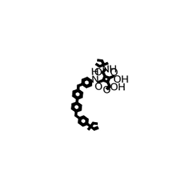 C=CC(C)(CC)c1ccc(Cc2ccc(-c3ccc(Cc4ccc(NC(=O)C5C(C(=O)O)C(C(=O)O)C5C(=O)NC(C)(CC)CC)cc4)cc3)cc2)cc1